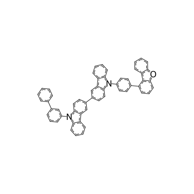 c1ccc(-c2cccc(-n3c4ccccc4c4cc(-c5ccc6c(c5)c5ccccc5n6-c5ccc(-c6cccc7oc8ccccc8c67)cc5)ccc43)c2)cc1